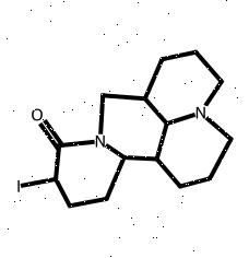 O=C1C(I)CCC2C3CCCN4CCCC(CN12)C34